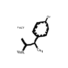 CNC(C)C(O)c1ccc(O)cc1.Cl